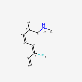 C=C/C(F)=C\C=C/C(C)CNC